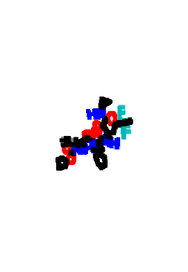 CC(F)(F)CC[C@H](NC(=O)[C@@H]1CC2(CCCCC2)CN1C(=O)[C@@H](NC(=O)OC1CCCC1)C(C)(C)C)C(=O)C(=O)NC1CC1